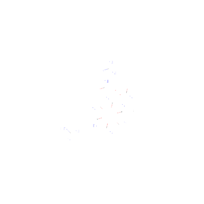 CCC(=O)N[C@@H](CCCNC(=N)N)C(=O)N[C@@H](CO)C(=O)N[C@@H](CC(=O)O)C(=O)N[C@H](C(=O)N[C@@H](CCCCNC(=N)N)C(=O)N[C@@H](CCC(N)=O)C(N)=O)[C@@H](C)O